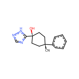 N#C[C@]1(c2ccccc2)CC[C@@](O)(c2ncn[nH]2)CC1